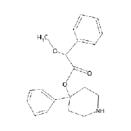 COC(C(=O)OC1(c2ccccc2)CCNCC1)c1ccccc1